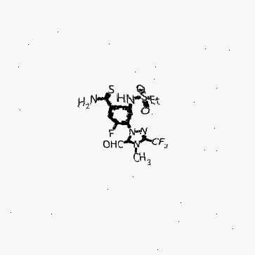 CCS(=O)(=O)Nc1cc(N2N=C(C(F)(F)F)N(C)C2C=O)c(F)cc1C(N)=S